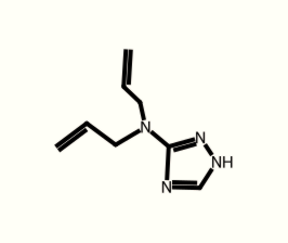 C=CCN(CC=C)c1nc[nH]n1